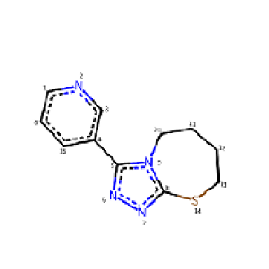 c1cncc(-c2nnc3n2CCCCS3)c1